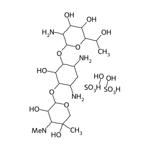 CNC1C(O)C(OC2C(N)CC(N)C(OC3OC(C(C)O)C(O)C(O)C3N)C2O)OCC1(C)O.O=S(=O)(O)O.O=S(=O)(O)O